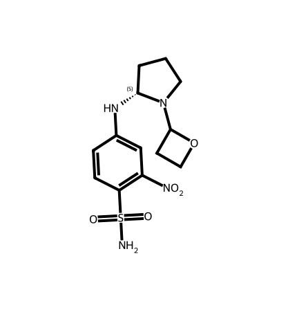 NS(=O)(=O)c1ccc(N[C@@H]2CCCN2C2CCO2)cc1[N+](=O)[O-]